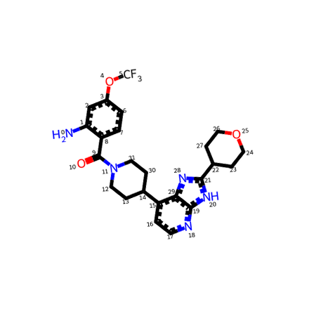 Nc1cc(OC(F)(F)F)ccc1C(=O)N1CCC(c2ccnc3[nH]c(C4CCOCC4)nc23)CC1